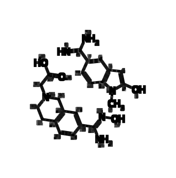 Cn1c(O)cc2cc(C(=N)N)ccc21.NC(=NO)c1ccc2c(c1)CN(CC(=O)O)CC2